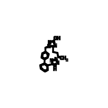 C=CCCc1nc(O)nn1Cc1ccc(-c2ccccc2-c2nnn[nH]2)cc1